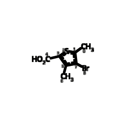 Cc1sc(C(=O)O)c(C)c1Br